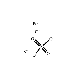 O=S(=O)(O)O.[Cl-].[Fe].[K+]